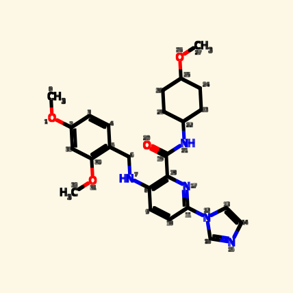 COc1ccc(CNc2ccc(-n3ccnc3)nc2C(=O)NC2CCC(OC)CC2)c(OC)c1